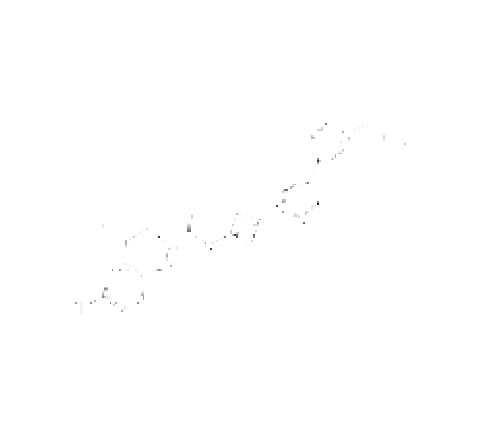 O=C(NC12CC(n3cc(-c4ccn(CC(F)(F)F)c4)cn3)(C1)C2)[C@H]1C[C@@H](O)c2cc(Cl)ccc2O1